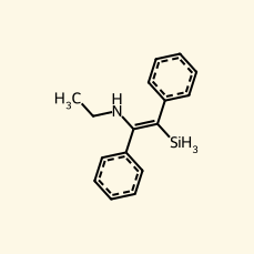 CCNC(=C([SiH3])c1ccccc1)c1ccccc1